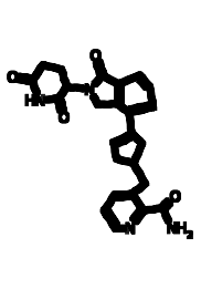 NC(=O)c1ncccc1CC1CC=C(c2cccc3c2CN(C2CCC(=O)NC2=O)C3=O)C1